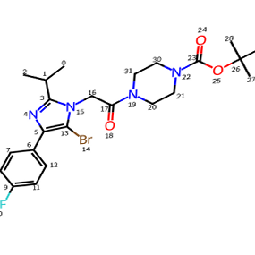 CC(C)c1nc(-c2ccc(F)cc2)c(Br)n1CC(=O)N1CCN(C(=O)OC(C)(C)C)CC1